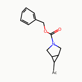 CC(=O)C1C2CN(C(=O)OCc3ccccc3)CC21